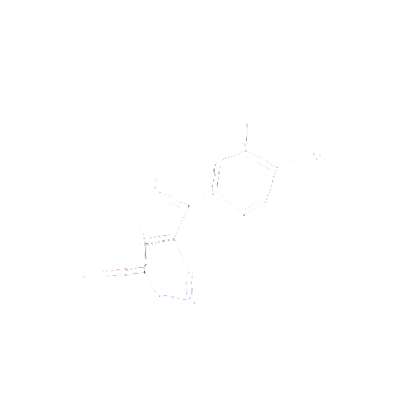 COc1ccc(-c2nsc3c(=O)[nH]nnc23)cc1C(F)(F)F